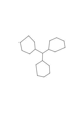 [CH]1CCC(C(C2CCCCC2)C2CCCCC2)CC1